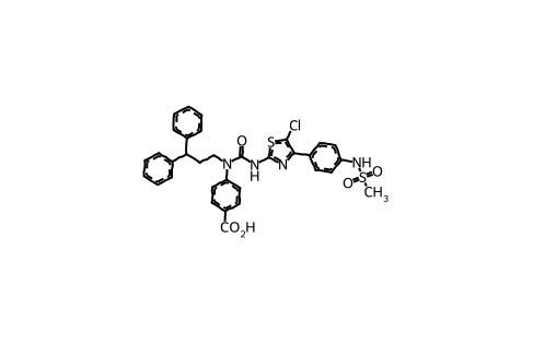 CS(=O)(=O)Nc1ccc(-c2nc(NC(=O)N(CCC(c3ccccc3)c3ccccc3)c3ccc(C(=O)O)cc3)sc2Cl)cc1